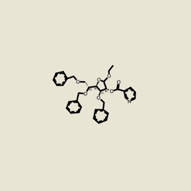 CCOC1O[C@H]([C@@H](COCc2ccccc2)OCc2ccccc2)[C@H](OCc2ccccc2)[C@H]1OC(=O)c1cccnc1